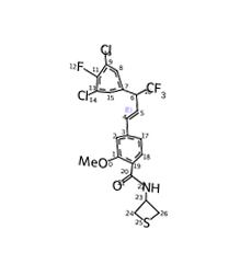 COc1cc(/C=C/C(c2cc(Cl)c(F)c(Cl)c2)C(F)(F)F)ccc1C(=O)NC1CSC1